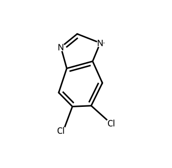 Clc1cc2c(cc1Cl)N=C[N]2